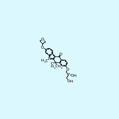 Cn1c2c(c3ccc(OC4COC4)cc31)C(=O)c1ccc(OC[C@H](O)CO)cc1C2(C)C